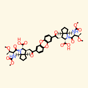 COC(=O)N[C@H](C(=O)N1[C@H](C(=O)O)[C@H](CC(=O)c2ccc3c(c2)Oc2ccc(C(=O)C[C@H]4[C@@H]5CCC[C@@H]5N(C(=O)[C@@H](NC(=O)OC)[C@@H](C)OC)[C@@H]4C(=O)O)cc2O3)[C@@H]2CCC[C@@H]21)[C@@H](C)OC